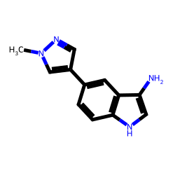 Cn1cc(-c2ccc3[nH]cc(N)c3c2)cn1